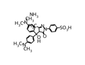 CC1=NN(c2ccc(S(=O)(=O)O)cc2)C(=O)C1C(O)(c1ccc(N(C)C)cc1)c1ccc(N(C)C)cc1.N